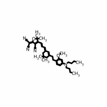 CCCCN(CCCC)c1ccc(CCC2=C/C(=C/C=C/C3=C(C#N)C(=C(C#N)C#N)OC3(C)C)CC(C)(C)C2)c(OC)c1